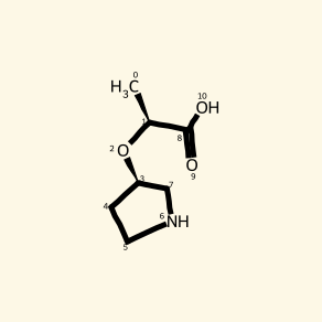 C[C@H](O[C@@H]1CCNC1)C(=O)O